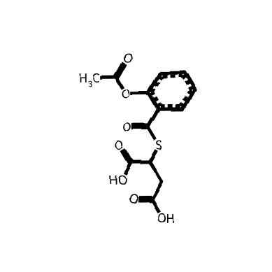 CC(=O)Oc1ccccc1C(=O)SC(CC(=O)O)C(=O)O